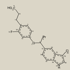 CC(C)C(Oc1ccc(CCC(=O)O)c(F)c1)c1ccc2[nH]cc(Cl)c2c1